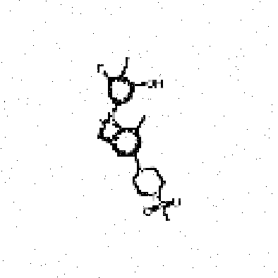 Cc1cc(N2CCN(S(C)(=O)=O)CC2)cc2cnn(-c3cc(O)c(F)c(F)c3)c12